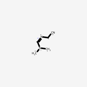 CN(C)/C=N\CC#N